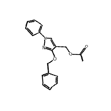 CC(=O)OCc1cn(-c2ccccc2)nc1OCc1ccccc1